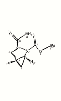 CC(C)(C)OC(=O)N1[C@@H]2C[C@@H]2C[C@H]1C(N)=O